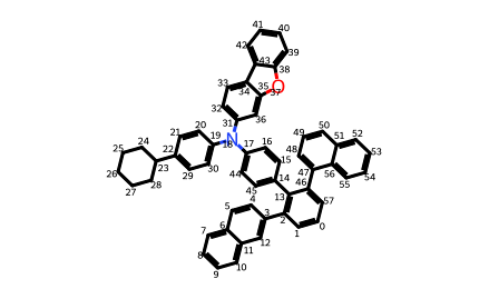 c1cc(-c2ccc3ccccc3c2)c(-c2ccc(N(c3ccc(C4CCCCC4)cc3)c3ccc4c(c3)oc3ccccc34)cc2)c(-c2cccc3ccccc23)c1